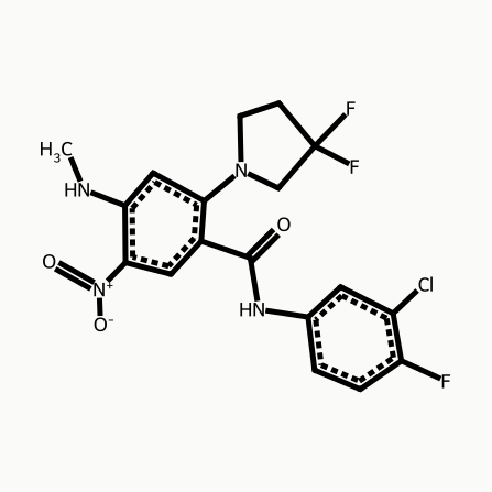 CNc1cc(N2CCC(F)(F)C2)c(C(=O)Nc2ccc(F)c(Cl)c2)cc1[N+](=O)[O-]